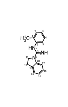 Cc1ccccc1NC(=N)N1CCc2ccccc21